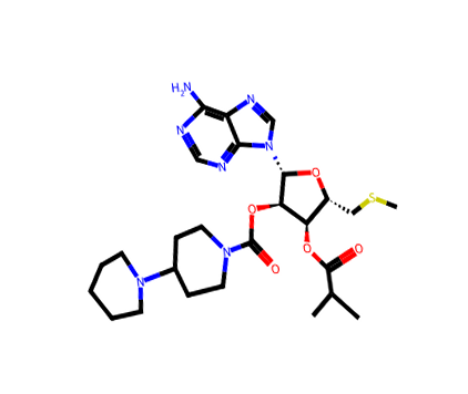 CSC[C@H]1O[C@@H](n2cnc3c(N)ncnc32)[C@H](OC(=O)N2CCC(N3CCCCC3)CC2)[C@@H]1OC(=O)C(C)C